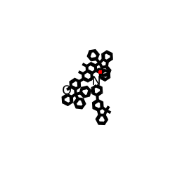 CC1C=C(C2(c3ccccc3)c3ccccc3-c3ccccc32)C2(C)C3=C1C(C)C(c1ccc4c(c1)C(c1ccccc1)(c1ccccc1)c1ccccc1O4)=CC3(C)N(c1ccc(-c3ccc4c(c3)C(C)(C)c3ccccc3-4)cc1)c1ccccc12